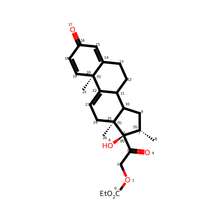 CCOC(=O)OCC(=O)[C@@]1(O)[C@@H](C)CC2C3CCC4=CC(=O)C=C[C@]4(C)C3=CC[C@@]21C